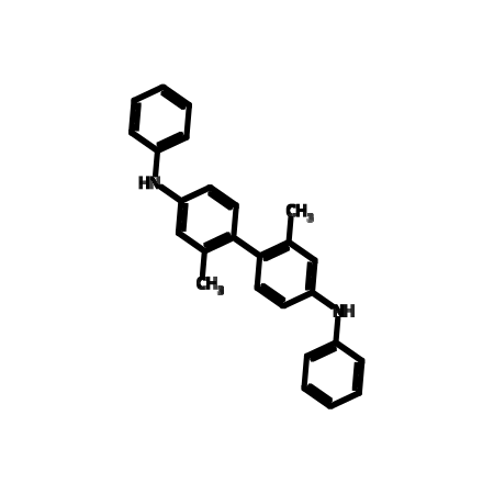 Cc1cc(Nc2ccccc2)ccc1-c1ccc(Nc2ccccc2)cc1C